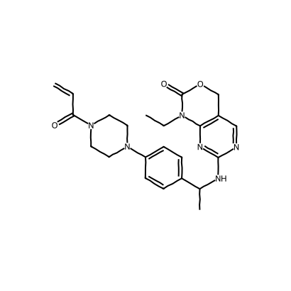 C=CC(=O)N1CCN(c2ccc(C(C)Nc3ncc4c(n3)N(CC)C(=O)OC4)cc2)CC1